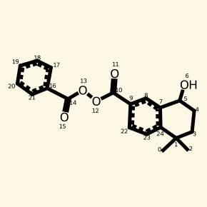 CC1(C)CCC(O)c2cc(C(=O)OOC(=O)c3ccccc3)ccc21